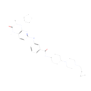 C[C@@H]1C(=O)N(C)c2ccc(Nc3cccc(C(=O)NC4CCC(N5CCN(CC6CC6)CC5)CC4)c3)nc2N1C1CCCC1